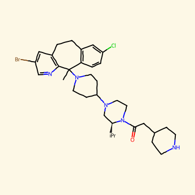 CC(C)[C@H]1CN(C2CCN(C3(C)c4ccc(Cl)cc4CCc4cc(Br)cnc43)CC2)CCN1C(=O)CC1CCNCC1